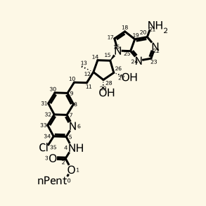 CCCCCOC(=O)Nc1nc2cc(CC[C@@]3(C)C[C@@H](n4ccc5c(N)ncnc54)[C@H](O)[C@@H]3O)ccc2cc1Cl